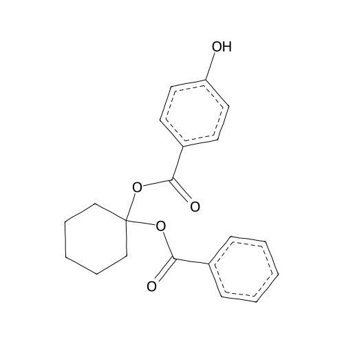 O=C(OC1(OC(=O)c2ccc(O)cc2)CCCCC1)c1ccccc1